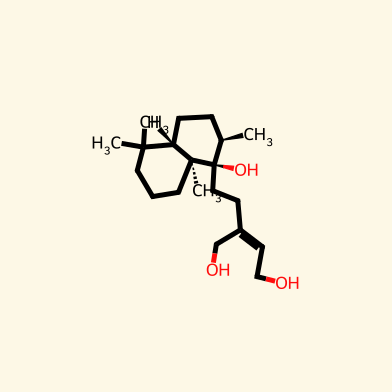 C[C@@H]1CC[C@H]2C(C)(C)CCC[C@]2(C)[C@@]1(O)CC/C(=C/CO)CO